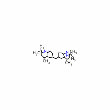 CC1CC(C)(C)NC2CCC(CC3CCC4NC(C)(C)CC(C)C4C3)CC12